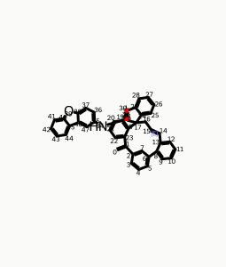 C=C1c2cccc(c2)-c2ccccc2/C=C/CC2(c3ccccc31)c1ccccc1-c1ccc(Nc3ccc4oc5ccccc5c4c3)cc12